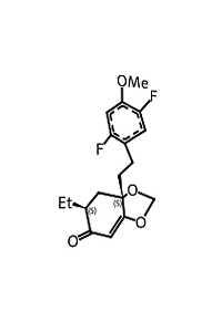 CC[C@H]1C[C@]2(CCc3cc(F)c(OC)cc3F)OCOC2=CC1=O